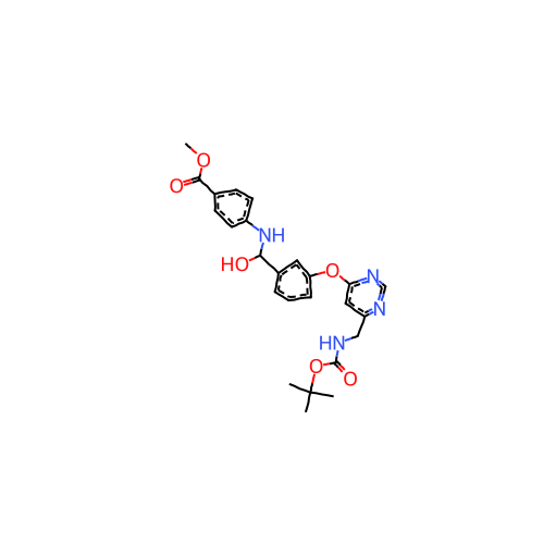 COC(=O)c1ccc(NC(O)c2cccc(Oc3cc(CNC(=O)OC(C)(C)C)ncn3)c2)cc1